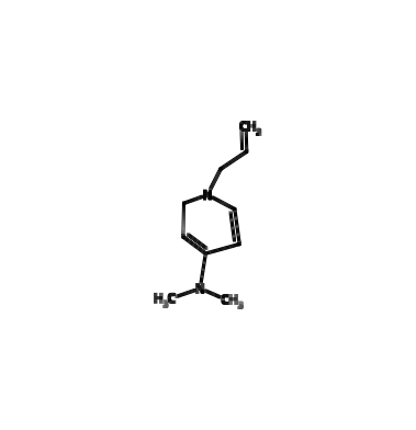 C=CCN1C=CC(N(C)C)=CC1